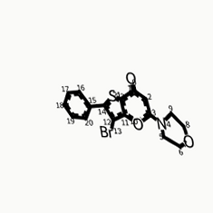 O=c1cc(N2CCOCC2)oc2c(Br)c(-c3ccccc3)sc12